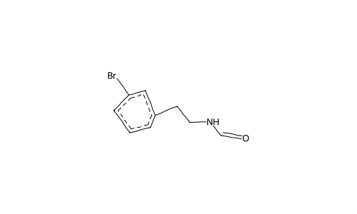 O=CNCCc1cccc(Br)c1